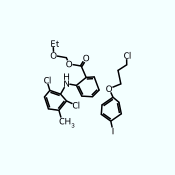 CCOCOC(=O)c1ccccc1Nc1c(Cl)ccc(C)c1Cl.ClCCCOc1ccc(I)cc1